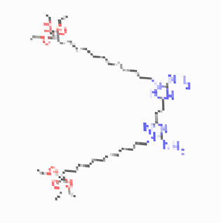 CCO[Si](CCCCCCCCCCCCn1nc(CCc2nc(N)n(CCCCCCCCCCCC[Si](OCC)(OCC)OCC)n2)nc1N)(OCC)OCC